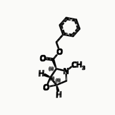 CN1C[C@@H]2O[C@@H]2[C@H]1C(=O)OCc1ccccc1